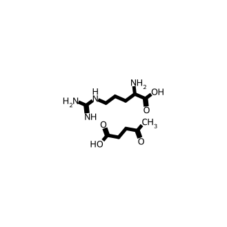 CC(=O)CCC(=O)O.N=C(N)NCCCC(N)C(=O)O